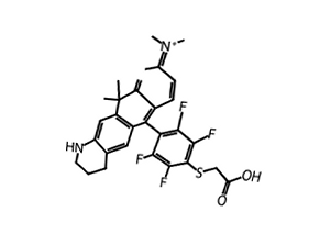 C=C1C(/C=C\C(C)=[N+](C)C)=C(c2c(F)c(F)c(SCC(=O)O)c(F)c2F)c2cc3c(cc2C1(C)C)NCCC3